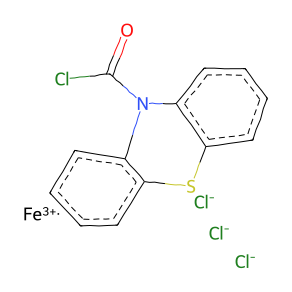 O=C(Cl)N1c2ccccc2Sc2ccccc21.[Cl-].[Cl-].[Cl-].[Fe+3]